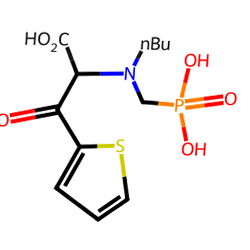 CCCCN(CP(=O)(O)O)C(C(=O)O)C(=O)c1cccs1